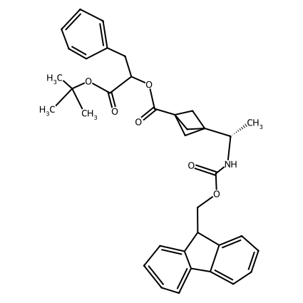 C[C@H](NC(=O)OCC1c2ccccc2-c2ccccc21)C12CC(C(=O)OC(Cc3ccccc3)C(=O)OC(C)(C)C)(C1)C2